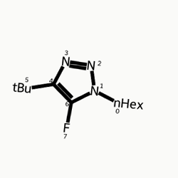 CCCCCCn1nnc(C(C)(C)C)c1F